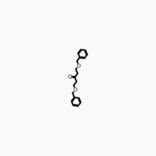 O=C(CCOCc1ccccc1)CCOCc1ccccc1